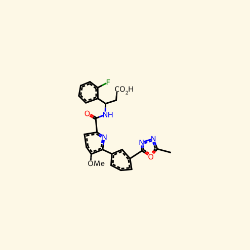 COc1ccc(C(=O)NC(CC(=O)O)c2ccccc2F)nc1-c1cccc(-c2nnc(C)o2)c1